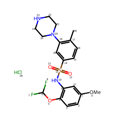 COc1ccc(OC(F)F)c(NS(=O)(=O)c2ccc(C)c(N3CCNCC3)c2)c1.Cl